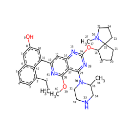 CCc1cccc2cc(O)cc(-c3cc4nc(OC5CCCC56CCCN6C)nc(N5CCNCC5C)c4c(OC)n3)c12